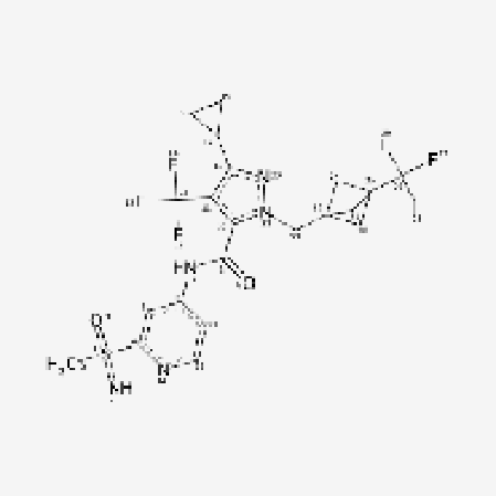 CS(=N)(=O)c1cc(NC(=O)c2c(C(F)(F)F)c(C3CC3)nn2CC23CC(C(F)(F)F)(C2)C3)ccn1